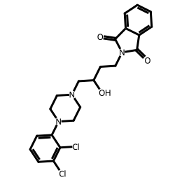 O=C1c2ccccc2C(=O)N1CCC(O)CN1CCN(c2cccc(Cl)c2Cl)CC1